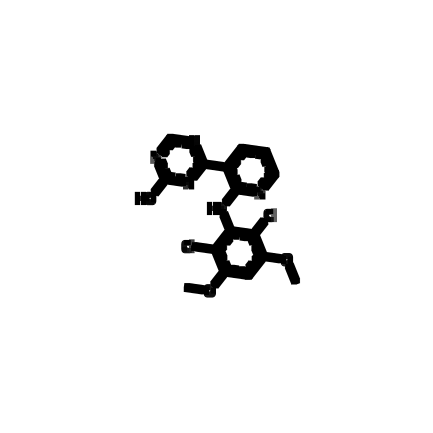 COc1cc(OC)c(Cl)c(Nc2ncccc2-c2ncnc(O)n2)c1Cl